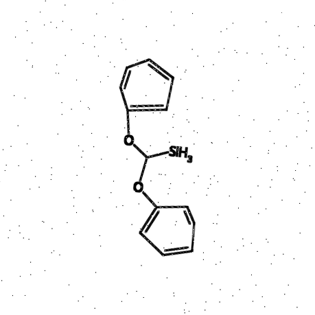 [SiH3]C(Oc1ccccc1)Oc1ccccc1